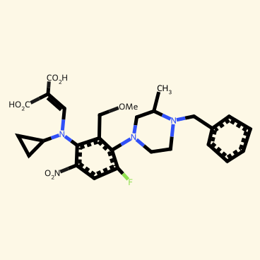 COCc1c(N2CCN(Cc3ccccc3)C(C)C2)c(F)cc([N+](=O)[O-])c1N(C=C(C(=O)O)C(=O)O)C1CC1